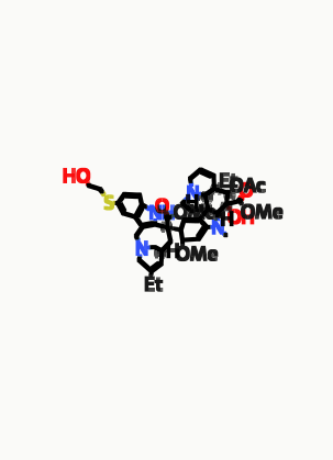 CCC1=C[C@H]2CN(C1)Cc1c([nH]c3ccc(SCCO)cc13)[C@@](C(=O)OC)(C1C=C3C(=CC1OC)N(C)[C@H]1[C@@](O)(C(=O)OC)[C@H](OC(C)=O)[C@]4(CC)C=CCN5CC[C@]31[C@@H]54)C2